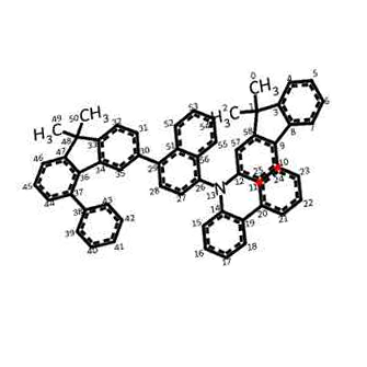 CC1(C)c2ccccc2-c2ccc(N(c3ccccc3-c3ccccc3)c3ccc(-c4ccc5c(c4)-c4c(-c6ccccc6)cccc4C5(C)C)c4ccccc34)cc21